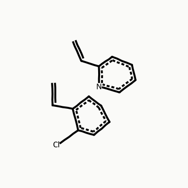 C=Cc1ccccc1Cl.C=Cc1ccccn1